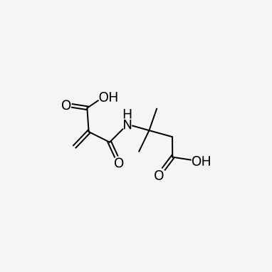 C=C(C(=O)O)C(=O)NC(C)(C)CC(=O)O